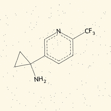 NC1(c2ccc(C(F)(F)F)nc2)CC1